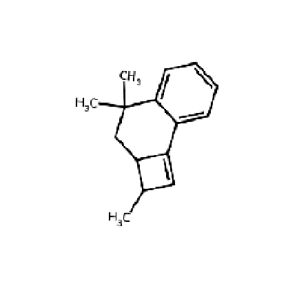 CC1C=C2c3ccccc3C(C)(C)CC21